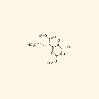 CCC(C)[C@H](NC(=O)OC(C)(C)C)C(=O)N[C@H](CCC(=O)O)C(=O)OC